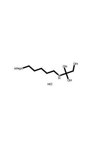 CCCCCCCCCCCCNC(O)(O)CO.Cl